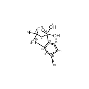 O=S(O)(O)(CC(F)(F)F)c1ccc(F)cc1F